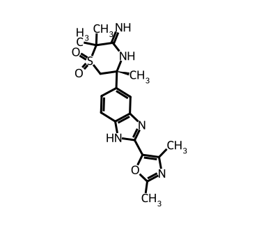 Cc1nc(C)c(-c2nc3cc([C@]4(C)CS(=O)(=O)C(C)(C)C(=N)N4)ccc3[nH]2)o1